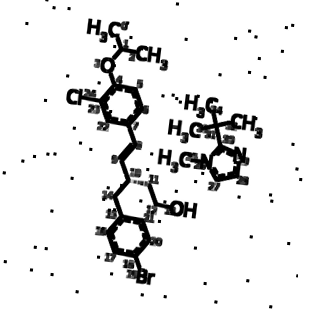 CC(C)Oc1ccc(/C=C/[C@H](CCO)Cc2ccc(Br)cc2)cc1Cl.Cn1ccnc1C(C)(C)C